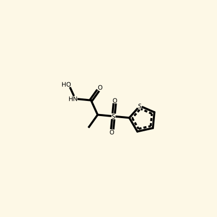 CC(C(=O)NO)S(=O)(=O)c1cccs1